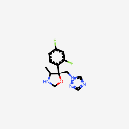 CC1NCO[C@@]1(Cn1cncn1)c1ccc(F)cc1F